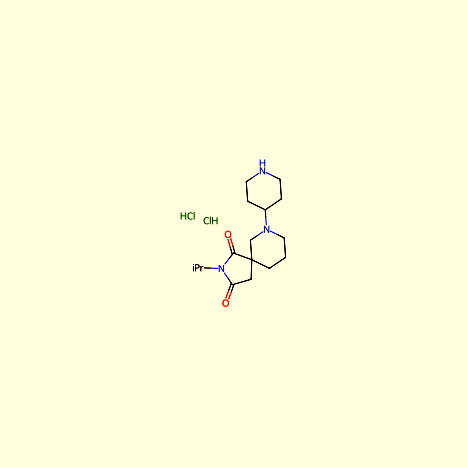 CC(C)N1C(=O)CC2(CCCN(C3CCNCC3)C2)C1=O.Cl.Cl